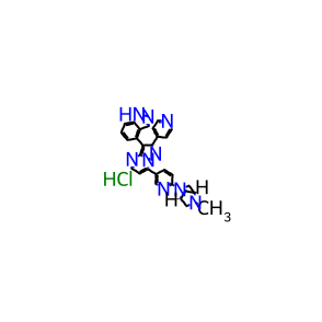 CN1C[C@@H]2C[C@H]1CN2c1ccc(-c2ccnc3c(-c4cccc5[nH]ncc45)c(-c4ccncc4)nn23)cn1.Cl